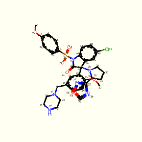 COc1ccc(S(=O)(=O)N2C(=O)C(c3cc(CN4CCNCC4)ccc3OC)(N3CCC[C@H]3c3ncon3)c3cc(Cl)ccc32)cc1